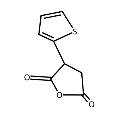 O=C1CC(c2cccs2)C(=O)O1